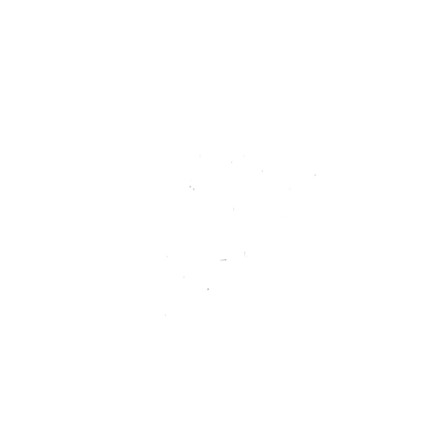 CCNCC.O=C1C(=Cc2ccccc2)CCC1=Cc1ccccc1